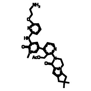 CC(=O)OCc1c(-c2cc(Nc3cccc(OCCN)n3)c(=O)n(C)c2)ccnc1N1CCn2c(cc3c2CC(C)(C)C3)C1=O